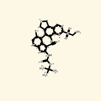 CCS(=O)(=O)c1ncc2c3c(c(-c4c(F)cnc5sc(NC(=O)OC(C)(C)C)c(C#N)c45)c(F)c2n1)COC3